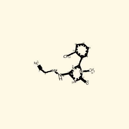 C#CCNNc1nc(-c2ccccc2Cl)n(C)c(=O)n1